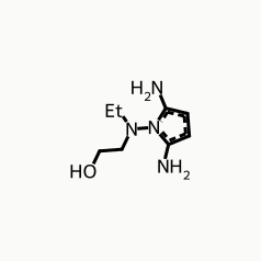 CCN(CCO)n1c(N)ccc1N